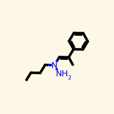 CCCCN(N)/C=C(\C)c1ccccc1